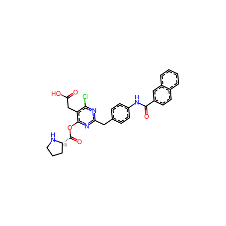 O=C(O)Cc1c(Cl)nc(Cc2ccc(NC(=O)c3ccc4ccccc4c3)cc2)nc1OC(=O)[C@@H]1CCCN1